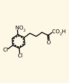 O=C(O)C(=O)CCCc1cc(Cl)c(Cl)cc1[N+](=O)[O-]